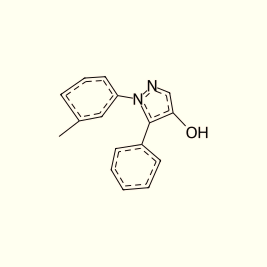 Cc1cccc(-n2ncc(O)c2-c2ccccc2)c1